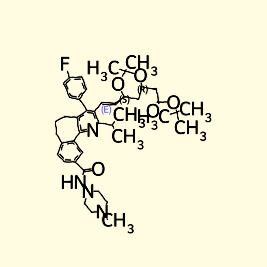 CC(C)c1nc2c(c(-c3ccc(F)cc3)c1/C=C/[C@@H]1C[C@H](CC(=O)OC(C)(C)C)OC(C)(C)O1)CCCc1ccc(C(=O)NN3CCN(C)CC3)cc1-2